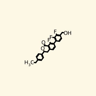 CCc1ccc(C2Cc3ccc(-c4ccc(CO)c(F)c4F)c(F)c3C(=O)O2)cc1